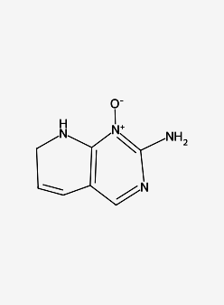 Nc1ncc2c([n+]1[O-])NCC=C2